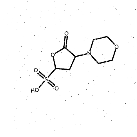 O=C1OC(S(=O)(=O)O)CC1N1CCOCC1